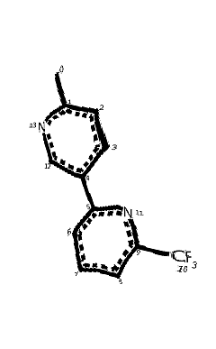 Cc1ccc(-c2cccc(C(F)(F)F)n2)cn1